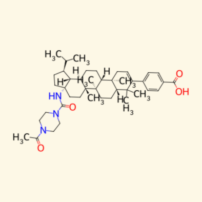 CC(=O)N1CCN(C(=O)N[C@]23CC[C@@H](C(C)C)[C@@H]2[C@H]2CC[C@@H]4[C@@]5(C)CC=C(c6ccc(C(=O)O)cc6)C(C)(C)[C@@H]5CC[C@@]4(C)[C@]2(C)CC3)CC1